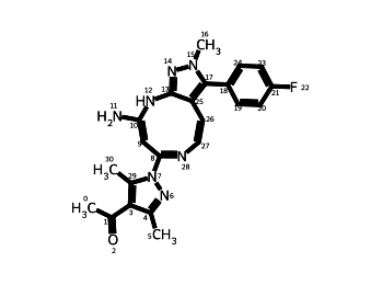 CC(=O)c1c(C)nn(-c2cc(N)[nH]c3nn(C)c(-c4ccc(F)cc4)c3ccn2)c1C